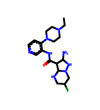 CCN1CCN(c2ccncc2NC(=O)C2C(N)NN3CC(F)CNC23)CC1